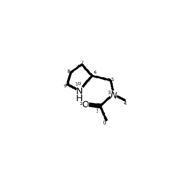 CC(=O)N(C)CC1CCCN1